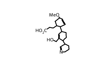 COC1C=CC(C2C=C(CO)C(C3C=NCCC3)CC2)C(CCC(=O)O)C1